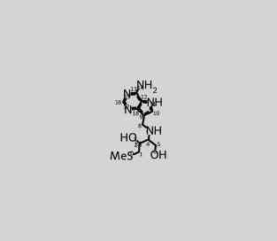 CSC[C@@H](O)C(CO)NCc1c[nH]c2c(N)ncnc12